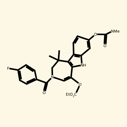 CCOC(=O)OC1=CN(C(=O)c2ccc(F)cc2)CC(C)(C)c2c1[nH]c1cc(OC(=O)NC)ccc21